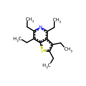 CCc1nc(CC)c2c(CC)c(CC)sc2c1CC